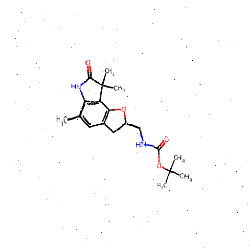 Cc1cc2c(c3c1NC(=O)C3(C)C)OC(CNC(=O)OC(C)(C)C)C2